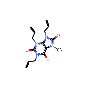 C=CCn1c(=O)c2c(n(CC=C)c1=O)n(CC=C)c(=O)n2C#N